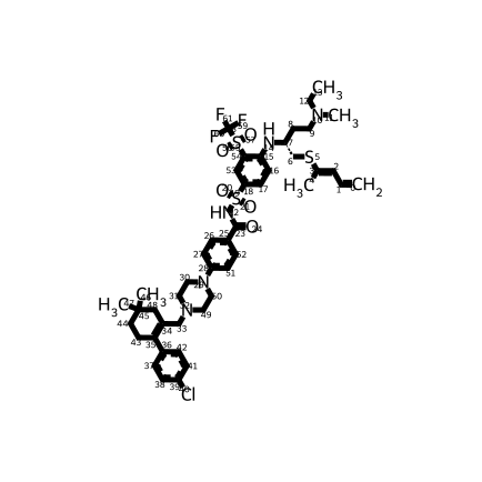 C=C/C=C(\C)SC[C@@H](CCN(C)CC)Nc1ccc(S(=O)(=O)NC(=O)c2ccc(N3CCN(CC4=C(c5ccc(Cl)cc5)CCC(C)(C)C4)CC3)cc2)cc1S(=O)(=O)C(F)(F)F